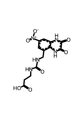 O=C(O)CCNC(=O)NCc1cc([N+](=O)[O-])cc2[nH]c(=O)c(=O)[nH]c12